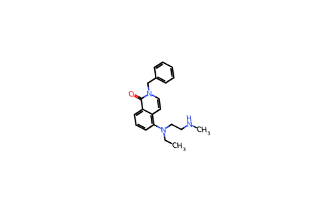 CCN(CCNC)c1cccc2c(=O)n(Cc3ccccc3)ccc12